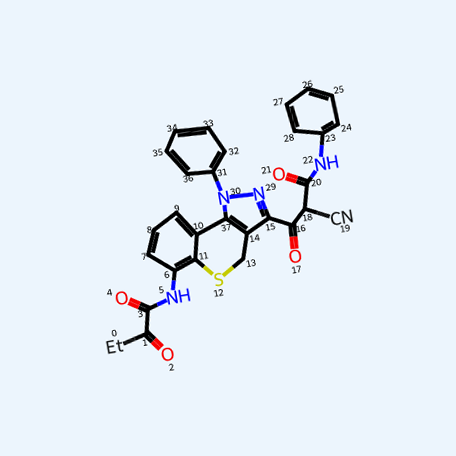 CCC(=O)C(=O)Nc1cccc2c1SCc1c(C(=O)C(C#N)C(=O)Nc3ccccc3)nn(-c3ccccc3)c1-2